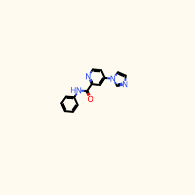 O=C(Nc1ccccc1)c1cc(-n2ccnc2)ccn1